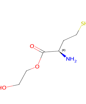 N[C@H](CCS)C(=O)OCCO